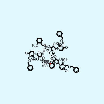 CO[C@@H]1[C@H](O[Si](C)(C)C(C)(C)C)[C@@H](COP(=O)(OCc2ccccc2C(F)(F)F)O[C@H]2[C@@H](OC)[C@H](n3ccc(=O)n(COCc4ccccc4)c3=O)O[C@@H]2COP(=O)(OCc2ccccc2C(F)(F)F)O[C@H]2[C@@H](OC)[C@H](n3ccc(=O)n(COCc4ccccc4)c3=O)O[C@@H]2CO[Si](C)(C)C(C)(C)C)O[C@H]1n1ccc(=O)n(COCc2ccccc2)c1=O